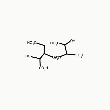 O=C(O)C(O)C(O)C(=O)O.O=C(O)CC(C(=O)O)C(O)C(=O)O